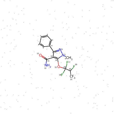 Cn1nc(-c2ccccc2)c(C(N)=O)c1OC(F)(F)C(F)C(F)(F)F